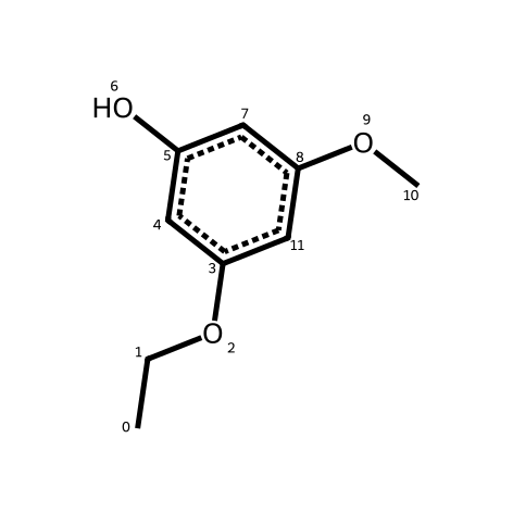 CCOc1cc(O)cc(OC)c1